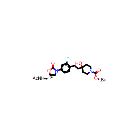 CC(=O)NC[C@H]1CN(c2ccc(CCC3(O)CCN(C(=O)OC(C)(C)C)CC3)c(F)c2)C(=O)O1